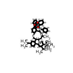 C=C1CC2C(CCc3ccc4c(oc5ccccc54)c3-c3n(-c4cccc5ccccc45)c4ccccc4[n+]31)c1cc(C(C)C)ccc1-c1cc(C(C)C)c([Si](C)(C)C)c[n+]12